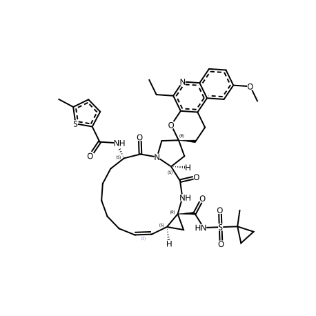 CCc1nc2ccc(OC)cc2c2c1O[C@]1(CC2)C[C@H]2C(=O)N[C@]3(C(=O)NS(=O)(=O)C4(C)CC4)C[C@H]3/C=C\CCCCC[C@H](NC(=O)c3ccc(C)s3)C(=O)N2C1